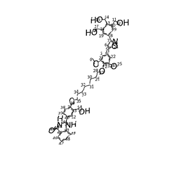 COc1cc(-c2cc(-c3cc(CO)c(CO)c(CO)c3)no2)cc(OC)c1OCCCCCCCCOc1ccc(C2NC(=O)c3ccccc3N2)cc1CO